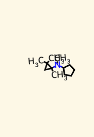 CN(C1CCCC1)C1(C)CC1(C)C